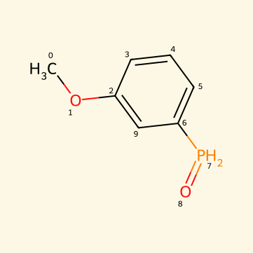 COc1cccc([PH2]=O)c1